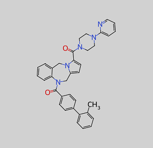 Cc1ccccc1-c1ccc(C(=O)N2Cc3ccc(C(=O)N4CCN(c5ccccn5)CC4)n3Cc3ccccc32)cc1